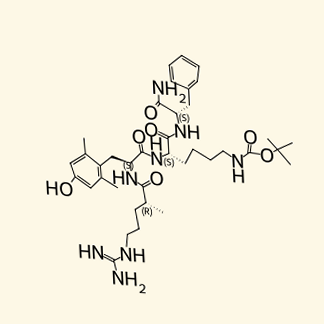 Cc1cc(O)cc(C)c1C[C@H](NC(=O)[C@H](C)CCCNC(=N)N)C(=O)N[C@@H](CCCCNC(=O)OC(C)(C)C)C(=O)N[C@@H](Cc1ccccc1)C(N)=O